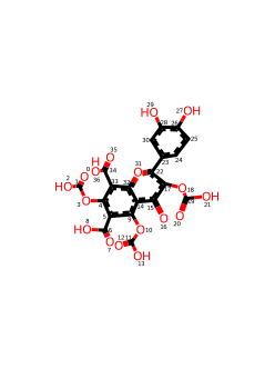 O=C(O)Oc1c(C(=O)O)c(OC(=O)O)c2c(=O)c(OC(=O)O)c(-c3ccc(O)c(O)c3)oc2c1C(=O)O